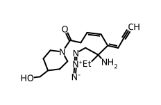 C#C/C=C(\C=C/CC(=O)N1CCC(CO)CC1)C(N)(CC)CN=[N+]=[N-]